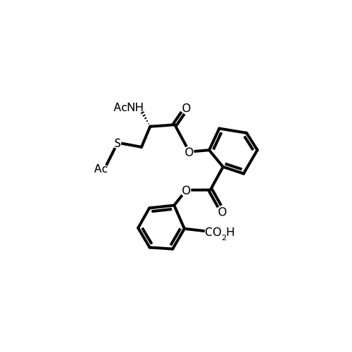 CC(=O)N[C@@H](CSC(C)=O)C(=O)Oc1ccccc1C(=O)Oc1ccccc1C(=O)O